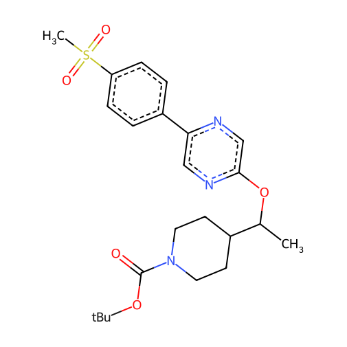 CC(Oc1cnc(-c2ccc(S(C)(=O)=O)cc2)cn1)C1CCN(C(=O)OC(C)(C)C)CC1